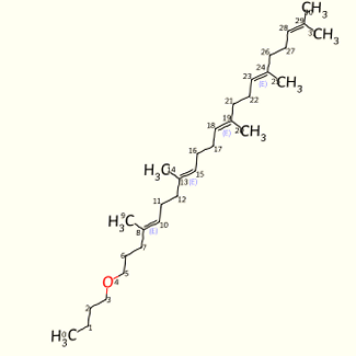 CCCCOCCC/C(C)=C/CC/C(C)=C/CC/C=C(\C)CC/C=C(\C)CCC=C(C)C